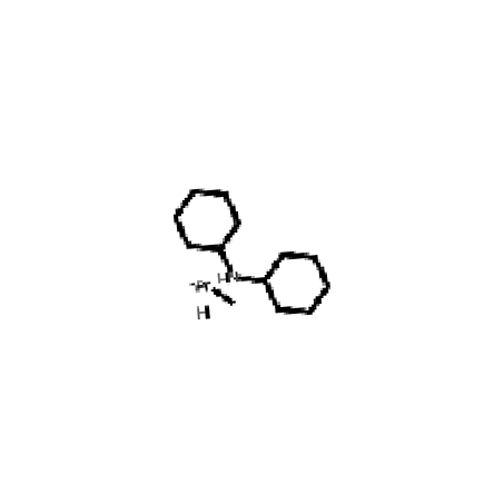 C1CCC(NC2CCCCC2)CC1.CCCC.I